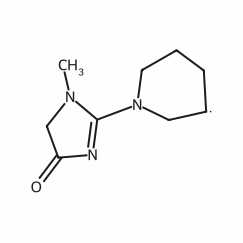 CN1CC(=O)N=C1N1C[CH]CCC1